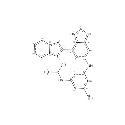 CC(C)Nc1cc(Nc2cc(-c3cc4ccccc4s3)c3[nH]ncc3c2)nc(N)n1